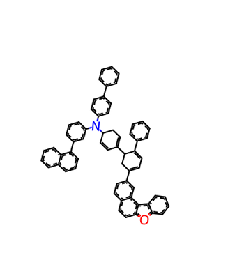 C1=CC(N(c2ccc(-c3ccccc3)cc2)c2cccc(-c3cccc4ccccc34)c2)CC=C1C1CC(c2ccc3ccc4oc5ccccc5c4c3c2)=CC=C1c1ccccc1